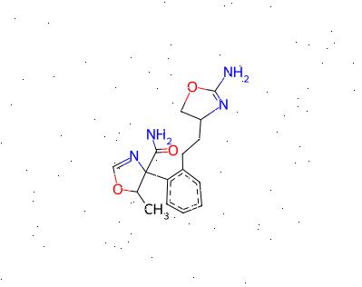 CC1OC=NC1(C(N)=O)c1ccccc1CCC1COC(N)=N1